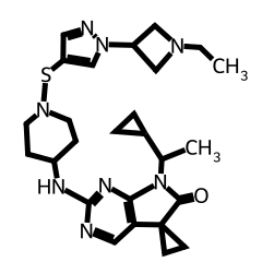 CCN1CC(n2cc(SN3CCC(Nc4ncc5c(n4)N(C(C)C4CC4)C(=O)C54CC4)CC3)cn2)C1